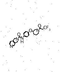 O=C(CC(F)(F)F)N1CCCC(Oc2ccc(NC(=O)N3Cc4ccncc4C3)cc2)C1